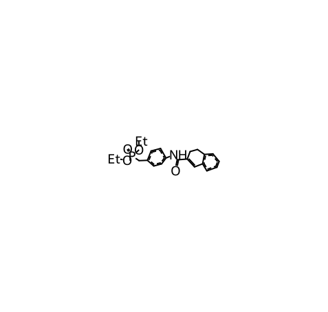 CCOP(=O)(Cc1ccc(NC(=O)C2=Cc3ccccc3CC2)cc1)OCC